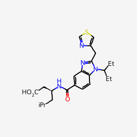 CCC(CC)n1c(Cc2cscn2)nc2cc(C(=O)N[C@H](CC(=O)O)CC(C)C)ccc21